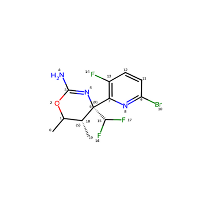 CC1OC(N)=N[C@](c2nc(Br)ccc2F)(C(F)F)[C@@H]1C